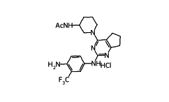 CC(=O)NC1CCCN(c2nc(Nc3ccc(N)c(C(F)(F)F)c3)nc3c2CCC3)C1.Cl